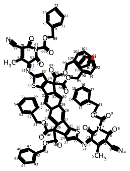 CC1=C(C#N)C(=O)N(C(=O)OCc2ccccc2)C(=O)/C1=N\c1cc2c(s1)C1=CC3C=C4C(=CC3C=C1C2(C(=O)OCc1ccccc1)C(=O)OCc1ccccc1)c1sc(/N=C2\C(=O)N(C(=O)OCc3ccccc3)C(=O)C(C#N)=C2C)cc1C4(C(=O)OCc1ccccc1)C(=O)OCc1ccccc1